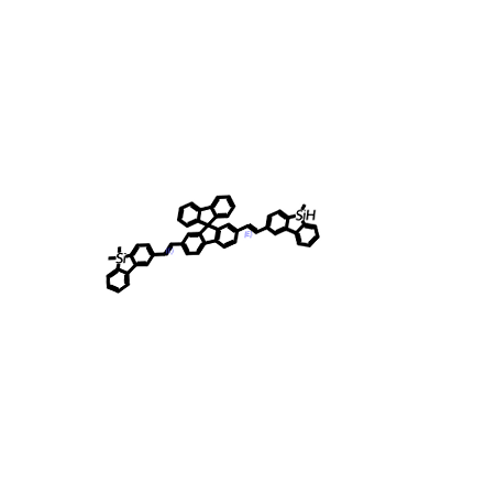 C[SiH]1c2ccccc2-c2cc(/C=C/c3ccc4c(c3)C3(c5ccccc5-c5ccccc53)c3cc(/C=C/c5ccc6c(c5)-c5ccccc5[Si]6(C)C)ccc3-4)ccc21